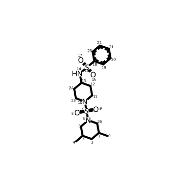 CC1CC(C)CN(S(=O)(=O)N2CCC(NS(=O)(=O)c3ccccc3)CC2)C1